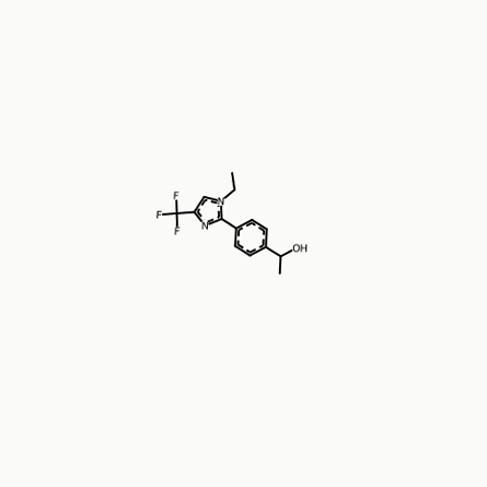 CCn1cc(C(F)(F)F)nc1-c1ccc(C(C)O)cc1